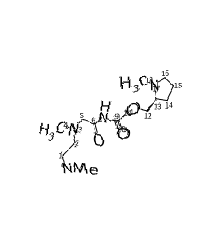 CNCCN(C)CC(=O)NC(=O)OC[C@@H]1CCCN1C